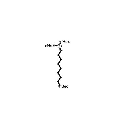 CCCCCCCCCCCCCCCCCC[SiH](CCCCCC)CCCCCC